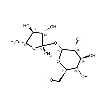 C[C@H]1O[C@@](C)(O[C@H]2O[C@H](CO)[C@@H](O)[C@H](O)[C@H]2O)[C@@H](O)[C@@H]1O